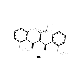 COc1cccc(OC)c1C(=O)C(C(=O)c1c(OC)cccc1OC)=C(C)CC(C)(C)C.O=[PH3]